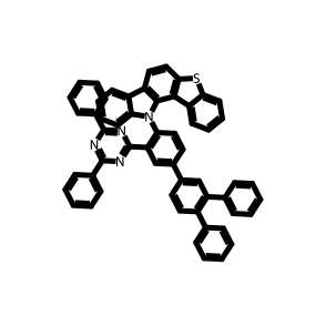 c1ccc(-c2nc(-c3ccccc3)nc(-c3cc(-c4ccc(-c5ccccc5)c(-c5ccccc5)c4)ccc3-n3c4ccccc4c4ccc5sc6ccccc6c5c43)n2)cc1